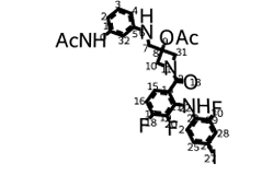 CC(=O)Nc1cccc(NCC2(OC(C)=O)CN(C(=O)c3ccc(F)c(F)c3Nc3ccc(I)cc3F)C2)c1